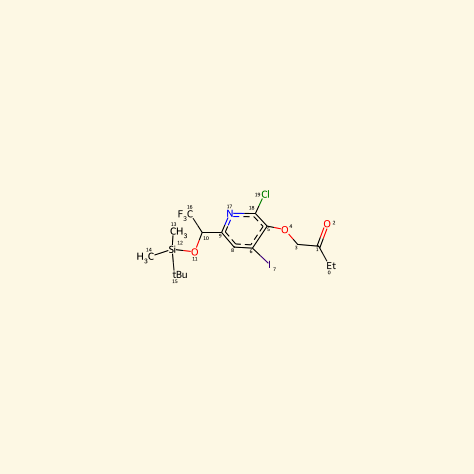 CCC(=O)COc1c(I)cc(C(O[Si](C)(C)C(C)(C)C)C(F)(F)F)nc1Cl